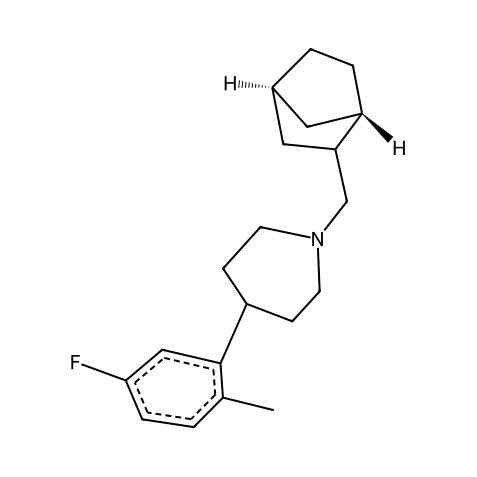 Cc1ccc(F)cc1C1CCN(CC2C[C@H]3CC[C@H]2C3)CC1